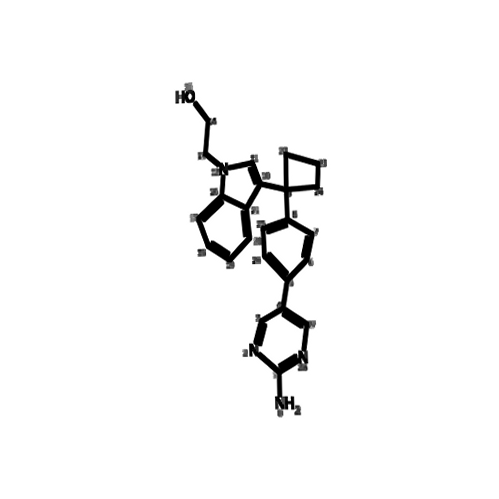 Nc1ncc(-c2ccc(C3(c4cn(CCO)c5ccccc45)CCC3)cc2)cn1